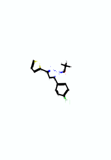 CC(C)(C)C(=O)N1N=C(c2cccs2)CC1c1ccc(Cl)cc1